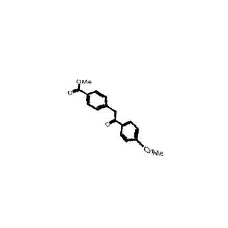 COC(=O)c1ccc(CC(=O)c2ccc(OC)cc2)cc1